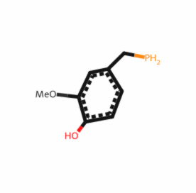 COc1cc(CP)ccc1O